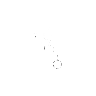 Cc1cccc(CCCN2C(=O)CC3[C@H](C[N+](=O)[O-])[C@@H](C)CC32O)c1